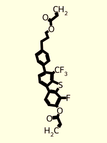 C=CC(=O)OCCCc1ccc(-c2ccc3c(sc4c(F)c(OC(=O)C=C)ccc43)c2C(F)(F)F)cc1